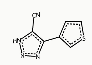 N#Cc1[nH]nnc1-c1ccsc1